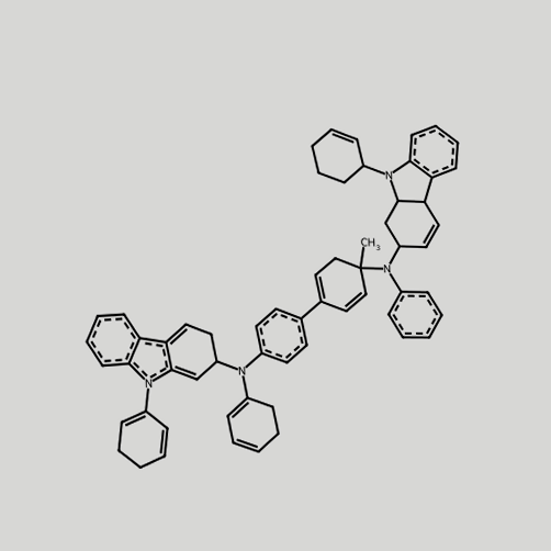 CC1(N(c2ccccc2)C2C=CC3c4ccccc4N(C4C=CCCC4)C3C2)C=CC(c2ccc(N(C3=CC=CCC3)C3C=c4c(c5ccccc5n4C4=CCCC=C4)=CC3)cc2)=CC1